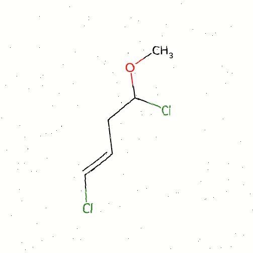 COC(Cl)C/C=C/Cl